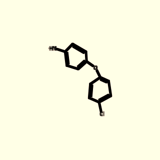 [NH]c1ccc(Oc2ccc(Cl)cc2)cc1